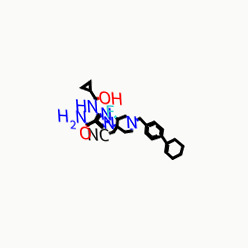 N#CCC1(n2cc(C(N)=O)c(NC(O)C3CC3)n2)CCN(Cc2ccc(C3=CCCCC3)cc2)CC1F